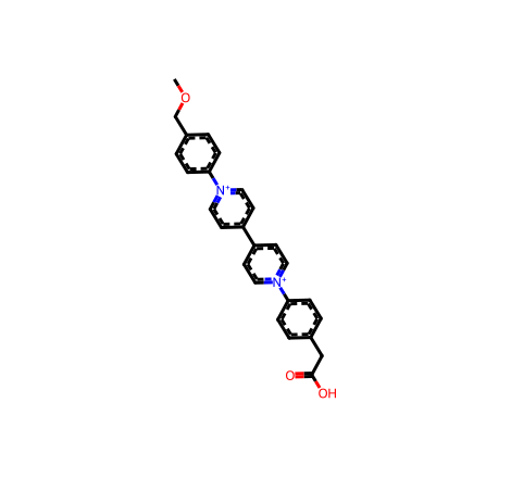 COCc1ccc(-[n+]2ccc(-c3cc[n+](-c4ccc(CC(=O)O)cc4)cc3)cc2)cc1